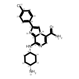 NC(=O)c1cnc(N[C@H]2CC[C@@H](N)CC2)c2nc(-c3ccc(Cl)cc3)cn12